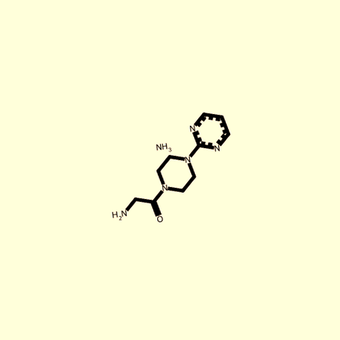 N.NCC(=O)N1CCN(c2ncccn2)CC1